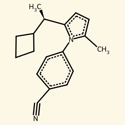 Cc1ccc([C@H](C)C2CCC2)n1-c1ccc(C#N)cc1